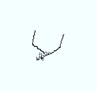 CCCCCCCC/C=C\CCCCCCCCOCC(COC(=O)NCN(C)C)OCCCCCCCC/C=C\CCCCCCCC